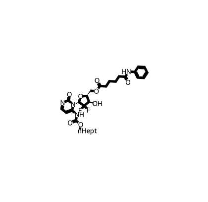 CCCCCCCOC(=O)Nc1ccnc(=O)n1[C@@H]1O[C@H](COC(=O)CCCCC(=O)Nc2ccccc2)[C@@H](O)C1(F)F